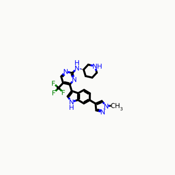 Cn1cc(-c2ccc3c(-c4nc(N[C@H]5CCCNC5)ncc4C(F)(F)F)c[nH]c3c2)cn1